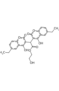 CCc1ccc2oc(=O)c(C(C(=O)OCCO)c3c(O)c4cc(CC)ccc4oc3=O)c(O)c2c1